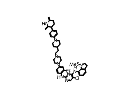 C=C1CCC(c2ccc(N3CCC(CCN4CCN(c5ccc(Nc6ncc(Cl)c(Nc7cccc8c7N(SC)CC8)n6)c(CC)c5)CC4)CC3)cc2)C(=C)N1